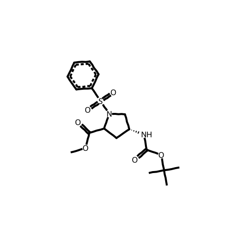 COC(=O)C1C[C@@H](NC(=O)OC(C)(C)C)CN1S(=O)(=O)c1ccccc1